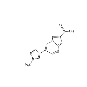 Cn1cc(-c2cnc3cc(C(=O)O)cn3c2)cn1